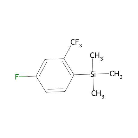 C[Si](C)(C)c1ccc(F)cc1C(F)(F)F